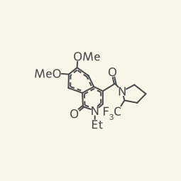 CCn1cc(C(=O)N2CCCC2C(F)(F)F)c2cc(OC)c(OC)cc2c1=O